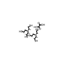 O=C(O)C(=O)O.SCCN(CCS)CCS.SCCN(CCS)CCS